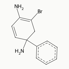 NC1=C(Br)CC(N)(c2ccccc2)C=C1